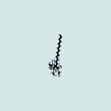 CCCCCCCCC/C=C/CCCC(NC(C)=O)(C(=O)OCC)C(=O)OCC